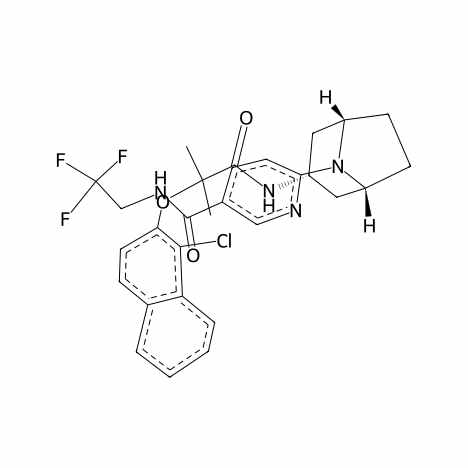 CC(C)(Oc1ccc2ccccc2c1Cl)C(=O)N[C@H]1C[C@H]2CC[C@@H](C1)N2c1ccc(C(=O)NCC(F)(F)F)cn1